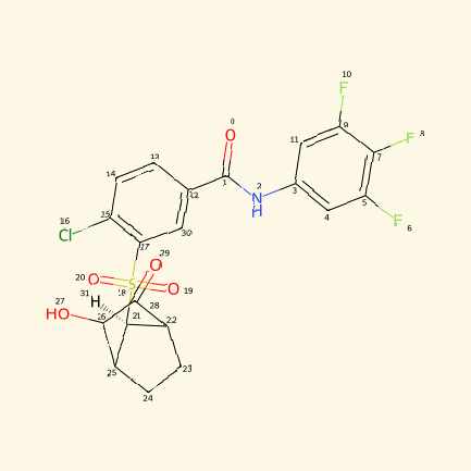 O=C(Nc1cc(F)c(F)c(F)c1)c1ccc(Cl)c(S(=O)(=O)[C@H]2C3CCC2C(O)C3=O)c1